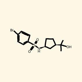 CC(C)(O)[C@@H]1CC[C@H](NS(=O)(=O)c2ccc(Br)cc2)C1